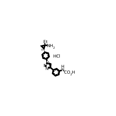 CC[C@]1(N)C[C@H]1c1ccc(-n2cc(-c3cccc(NC(=O)O)c3)nn2)cc1.Cl